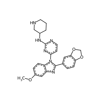 COc1ccc2c(c1)nc(-c1ccc3c(c1)OCO3)n2-c1ccnc(NC2CCCNC2)n1